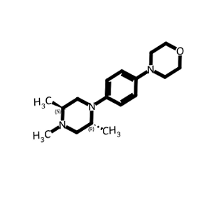 C[C@@H]1CN(C)[C@@H](C)CN1c1ccc(N2CCOCC2)cc1